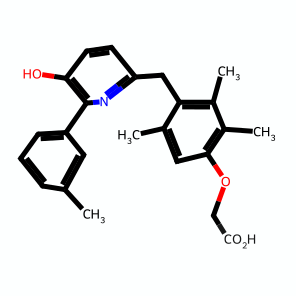 Cc1cccc(-c2nc(Cc3c(C)cc(OCC(=O)O)c(C)c3C)ccc2O)c1